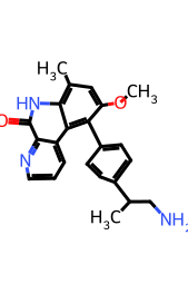 COc1cc(C)c2[nH]c(=O)c3ncccc3c2c1-c1ccc(C(C)CN)cc1